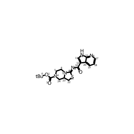 CC(C)(C)OC(=O)N1CCN2/C(=N/C(=O)c3c[nH]c4ncccc34)SCC2C1